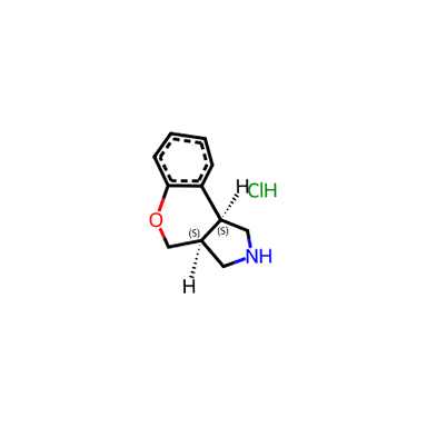 Cl.c1ccc2c(c1)OC[C@@H]1CNC[C@H]21